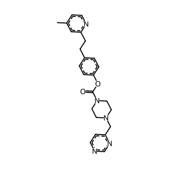 Cc1ccnc(CCc2ccc(OC(=O)N3CCN(Cc4ccncn4)CC3)cc2)c1